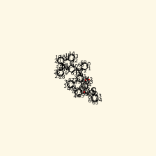 c1ccc(N(c2ccc3c(c2)-c2ccccc2-c2ccccc2N3c2ccccc2)c2ccc3c(c2)-c2ccccc2-c2ccccc2C32c3ccccc3-c3c2ccc2c3sc3ccccc32)cc1